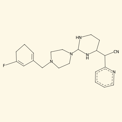 N#CC(c1ccccn1)C1CCNC(N2CCN(CC3=CCCC(F)=C3)CC2)N1